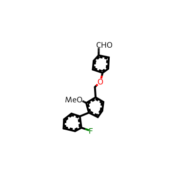 COc1c(COc2ccc(C=O)cc2)cccc1-c1ccccc1F